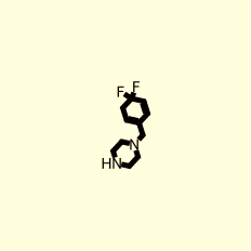 FC1(F)C=CC(CN2CCNCC2)=CC1